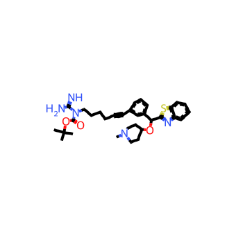 CN1CCC(OC(c2cccc(C#CCCCCN(C(=N)N)C(=O)OC(C)(C)C)c2)c2nc3ccccc3s2)CC1